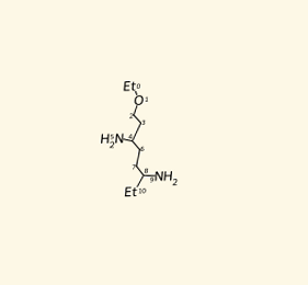 CCOCCC(N)CCC(N)CC